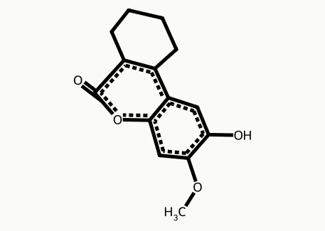 COc1cc2oc(=O)c3c(c2cc1O)CCCC3